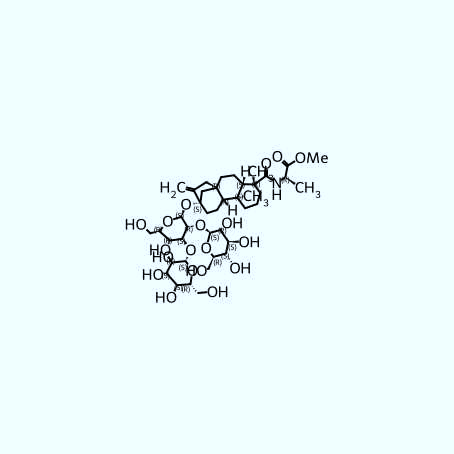 C=C1C[C@@]23CC[C@H]4[C@@](C)(CCC[C@@]4(C)C(=O)N[C@H](C)C(=O)OC)[C@@H]2CC[C@]1(O[C@@H]1O[C@H](CO)[C@@H](O)[C@H](O[C@@H]2O[C@H](CO)[C@@H](O)[C@H](O)[C@H]2O)[C@H]1O[C@@H]1O[C@H](CO)[C@@H](O)[C@H](O)[C@H]1O)C3